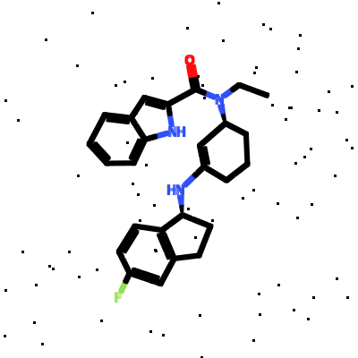 CCN(C(=O)c1cc2ccccc2[nH]1)[C@@H]1C=C(N[C@H]2CCc3cc(F)ccc32)CCC1